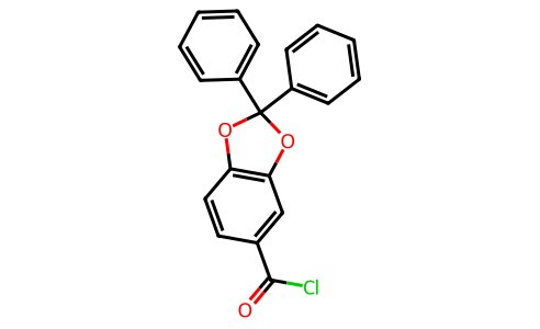 O=C(Cl)c1ccc2c(c1)OC(c1ccccc1)(c1ccccc1)O2